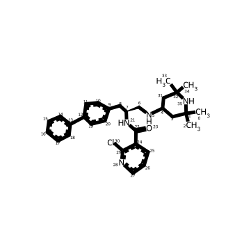 CC1(C)CC(NC[C@H](Cc2ccc(-c3ccccc3)cc2)NC(=O)c2cccnc2Cl)CC(C)(C)N1